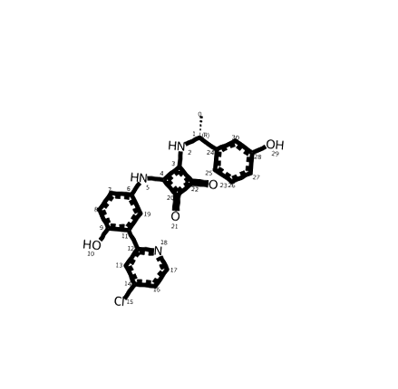 C[C@@H](Nc1c(Nc2ccc(O)c(-c3cc(Cl)ccn3)c2)c(=O)c1=O)c1cccc(O)c1